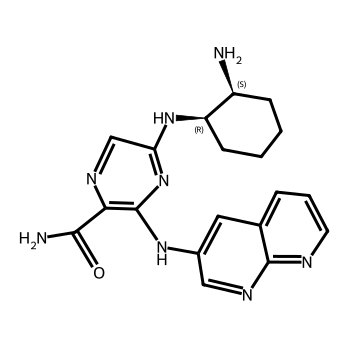 NC(=O)c1ncc(N[C@@H]2CCCC[C@@H]2N)nc1Nc1cnc2ncccc2c1